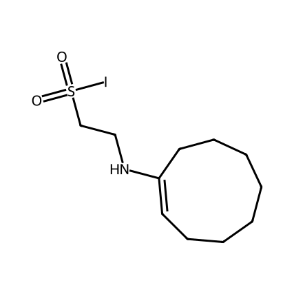 O=S(=O)(I)CCN/C1=C/CCCCCCC1